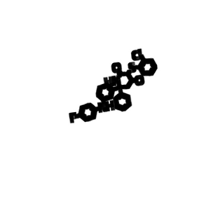 O=C1CC(c2ccccc2)(c2cccc(Nc3ccc(F)cc3)c2)NC(=O)C1Sc1ccccc1Cl